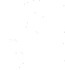 CNc1cc(N2CCC(C(F)(F)F)CC2)c(F)cc1N